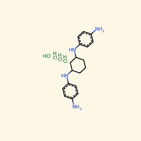 Cl.Cl.Cl.Cl.Nc1ccc(NC2CCCC(Nc3ccc(N)cc3)C2)cc1